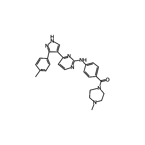 Cc1ccc(-c2n[nH]cc2-c2ccnc(Nc3ccc(C(=O)N4CCN(C)CC4)cc3)n2)cc1